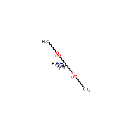 CCCCCC/C=C/COC(=O)OCCCCCCC(CCCCCCOC(=O)OCCCCCCCCC)CN(C)CCN(C)C